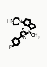 CN(c1nc(-c2ccc(F)cc2)cs1)C1CCc2ccc(N3CCNCC3)cc21